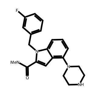 CNC(=O)c1cc2c(N3CCNCC3)cccc2n1Cc1cccc(F)c1